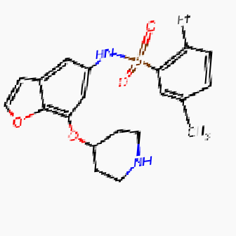 CCc1ccc(C)cc1S(=O)(=O)Nc1cc(OC2CCNCC2)c2occc2c1